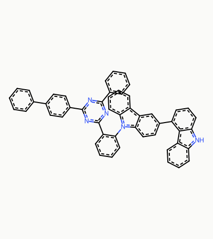 c1ccc(-c2ccc(-c3nc(-c4ccccc4)nc(-c4ccccc4-n4c5ccccc5c5cc(-c6cccc7[nH]c8ccccc8c67)ccc54)n3)cc2)cc1